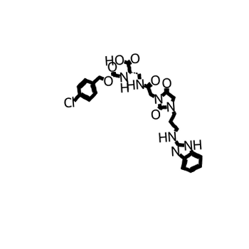 O=C(CN1C(=O)CN(CCCNc2nc3ccccc3[nH]2)C1=O)NC[C@H](NC(=O)OCc1ccc(Cl)cc1)C(=O)O